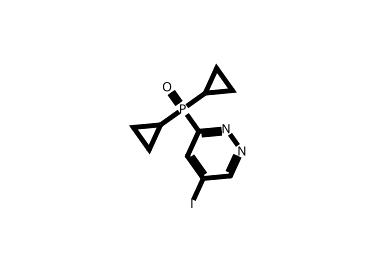 O=P(c1cc(I)cnn1)(C1CC1)C1CC1